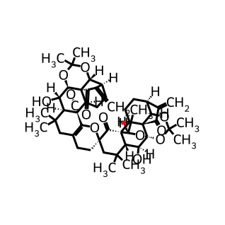 C=C1C(=O)[C@@]23[C@@H]4OC(C)(C)O[C@]25OC[C@]2(C6=C(CC[C@]7(CC(C)(C)[C@H]8[C@H](O)[C@@]9%10O[C@@H](C)[C@]8(C7=O)[C@@H]7CC[C@H]8C(=C)C(=O)[C@]79[C@@H]8OC(C)(C)O%10)O6)CC(C)(C)[C@H]2[C@@H]5O)[C@@H]3CC[C@@H]14